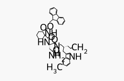 C=CC[C@@H](CNC(=O)[C@H](CC(N)=O)NC(=O)C1(NC(=O)OCC2c3ccccc3-c3ccccc32)CCCCC1)Cc1c[nH]c2ccc(C)cc12